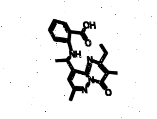 CCc1nc2c(C(C)Nc3ccccc3C(=O)O)cc(C)nn2c(=O)c1C